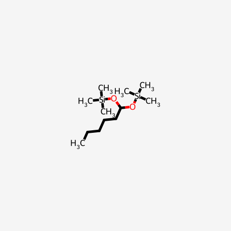 CCCCCC(O[Si](C)(C)C)O[Si](C)(C)C